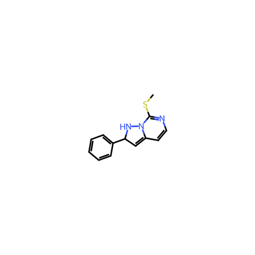 CSC1=NC=CC2=CC(c3ccccc3)NN21